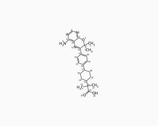 CC1(C)Oc2ncnc(N)c2N=C1c1ccc(C2CCC(C(C)(C)C(=O)O)CC2)cc1